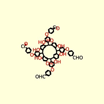 O=Cc1ccc(Oc2ccc(C3c4cc(c(O)cc4O)C(c4ccc(Oc5ccc(C=O)cc5)cc4)c4cc(c(O)cc4O)C(c4ccc(Oc5cc[c]([Cr]=[O])cc5)cc4)c4cc(c(O)cc4O)C(c4ccc(Oc5cc[c]([Cr]=[O])cc5)cc4)c4cc3c(O)cc4O)cc2)cc1